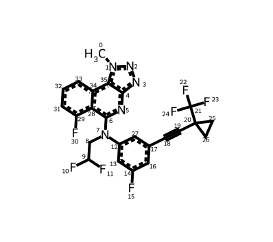 Cn1nnc2nc(N(CC(F)F)c3cc(F)cc(C#CC4(C(F)(F)F)CC4)c3)c3c(F)cccc3c21